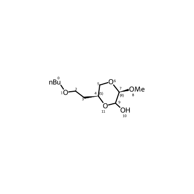 CCCCOCC[C@H]1CO[C@@H](OC)C(O)O1